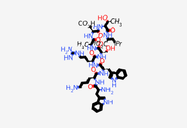 CC(C)C[C@H](NC(=O)[C@@H](NC(=O)[C@H](CC(=O)O)NC(=O)[C@H](C)NC(=O)[C@H](CO)NC(=O)[C@H](CCCNC(=N)N)NC(=O)[C@H](Cc1c[nH]c2ccccc12)NC(=O)[C@H](CCCCN)NC(=O)[C@@H](N)Cc1c[nH]c2ccccc12)[C@@H](C)O)C(=O)O